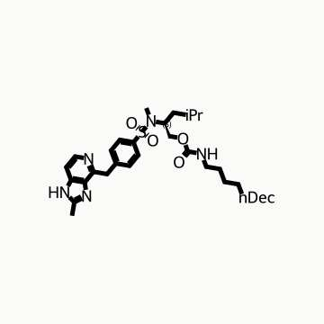 CCCCCCCCCCCCCCNC(=O)OC[C@H](CC(C)C)N(C)S(=O)(=O)c1ccc(Cc2nccc3[nH]c(C)nc23)cc1